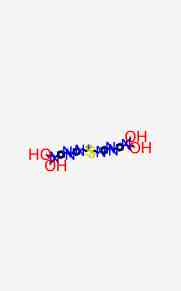 OCCN(CCO)c1ccc(/N=N/c2cc[n+](CCSSCC[n+]3ccc(/N=N/c4ccc(N(CCO)CCO)cc4)cc3)cc2)cc1